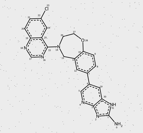 Nc1nc2ncc(-c3ccc4c(c3)CN(c3ncnc5ccc(Cl)cc35)CCO4)cc2[nH]1